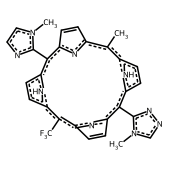 Cc1c2nc(c(-c3nccn3C)c3ccc([nH]3)c(C(F)(F)F)c3nc(c(-c4nncn4C)c4ccc1[nH]4)C=C3)C=C2